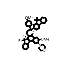 CCC1(CC)c2ccccc2-c2c1c1c(c3cc(OC)c(N4CCOCC4)cc23)OC(c2ccc(OC)cc2)(c2ccc3c(c2)C(C)(C)c2ccccc2-3)C=C1